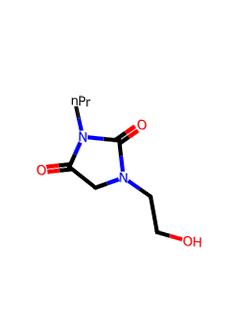 CCCN1C(=O)CN(CCO)C1=O